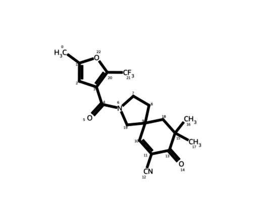 Cc1cc(C(=O)N2CCC3(C=C(C#N)C(=O)C(C)(C)C3)C2)c(C(F)(F)F)o1